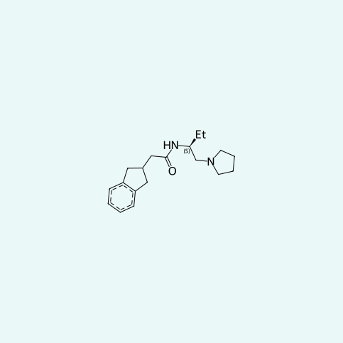 CC[C@@H](CN1CCCC1)NC(=O)CC1Cc2ccccc2C1